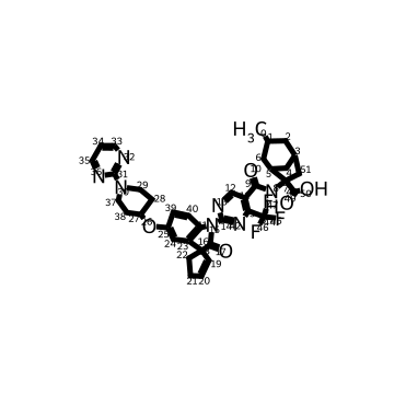 CC1CC2CC(C1)C(NC(=O)c1cnc(N3C(=O)C4(C=CCC4)c4cc(OC5CCN(c6ncccn6)CC5)ccc43)nc1C(F)(F)F)(C(=O)O)C2